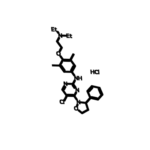 CCN(CC)CCOc1c(C)cc(Nc2ncc(Cl)c(N3OCCC3c3ccccc3)n2)cc1C.Cl